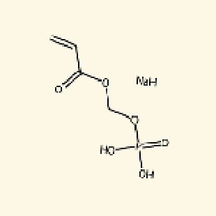 C=CC(=O)OCOP(=O)(O)O.[NaH]